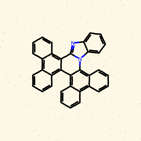 c1ccc2c(c1)nc1c3c4ccccc4c4ccccc4c3c3c4ccccc4c4ccccc4c3n21